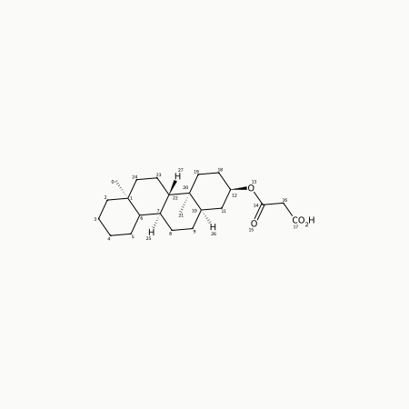 C[C@@]12CCCCC1[C@@H]1CC[C@@H]3C[C@H](OC(=O)CC(=O)O)CC[C@]3(C)[C@H]1CC2